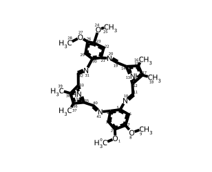 COc1cc2c(cc1OC)/N=C/c1[nH]c(c(C)c1C)/C=N/c1cc(OC)c(OC)cc1/N=C/c1[nH]c(c(C)c1C)/C=N/2